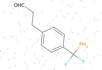 O=CCCc1ccc(C(F)(F)P)cc1